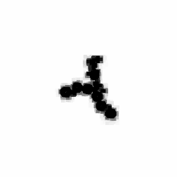 CCOC(CSc1ccc(OCC(=O)O)c(C)c1)=C(c1ccc(-c2cccc(Oc3ccccc3)c2)cc1)c1ccc(-c2cccc(Oc3ccccc3)c2)cc1